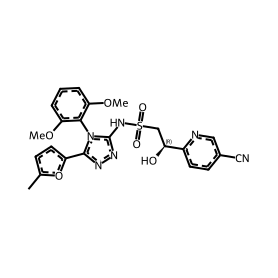 COc1cccc(OC)c1-n1c(NS(=O)(=O)C[C@H](O)c2ccc(C#N)cn2)nnc1-c1ccc(C)o1